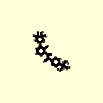 Cc1c(NC(=O)c2ccc(C(O)(C(F)(F)F)C(F)(F)F)cc2)cccc1B1OC(C)(C)C(C)(C)O1